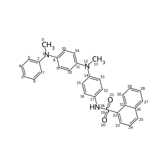 CN(c1ccccc1)c1ccc(N(C)c2ccc(NS(=O)(=O)c3cccc4ccccc34)cc2)cc1